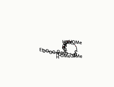 CCOCCOCCOCCOCCNC(=O)O[C@@H]1CC[C@@H](C[C@@H](C)[C@@H]2C[C@@H](O)[C@H](C)/C=C(\C)[C@@H](O)[C@@H](OC)C(=O)[C@H](C)C[C@H](C)/C=C/C=C/C=C(\C)[C@@H](OC)C[C@@H]3CC[C@@H](C)[C@@](O)(O3)C(=O)C(=O)N3CCCC[C@H]3C(=O)O2)C[C@H]1OC